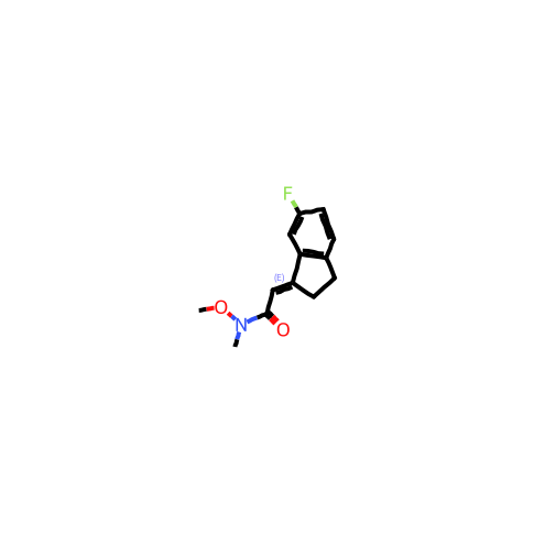 CON(C)C(=O)/C=C1\CCc2ccc(F)cc21